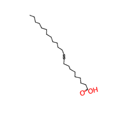 CCCCCCCCCCCCC#CCCCCCCCCC(=O)O